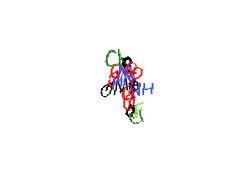 COCCOCC(=O)N1CC(C(=O)NC23CC2[C@@H](NC(=O)COc2ccc(Cl)c(F)c2)C3)Oc2ccc(Cl)cc21